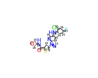 Cc1nc2c(cnn2-c2csc(C(=O)NC3COC3)c2)cc1Nc1ccc(F)cc1Cl